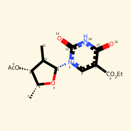 CCOC(=O)c1cn([C@@H]2O[C@H](C)[C@H](OC(C)=O)C2C)c(=O)[nH]c1=O